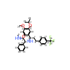 CNC(=O)[C@H](N[C@H](CCc1ccc(C(F)(F)F)cc1)c1ccc(OC)c(OC(C)C)c1)c1ccccc1